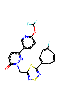 O=c1ccc(-c2ccc(OC(F)F)nc2)nn1CC1=NSN=C(C2=CC=C(F)C=CC2)S1